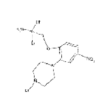 CCN1CCN(c2cc([N+](=O)[O-])ccc2OCC(N)(CC)CC)CC1